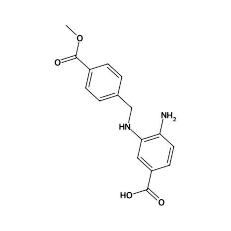 COC(=O)c1ccc(CNc2cc(C(=O)O)ccc2N)cc1